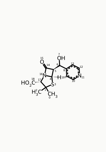 CC1(C)S[C@@H]2[C@H](C(O)c3ccncc3)C(=O)N2[C@H]1C(=O)O